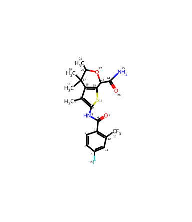 Cc1c(NC(=O)c2ccc(F)cc2C(F)(F)F)sc2c1C(C)(C)C(C)OC2C(N)=O